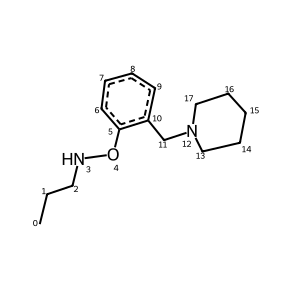 CCCNOc1ccccc1CN1CCCCC1